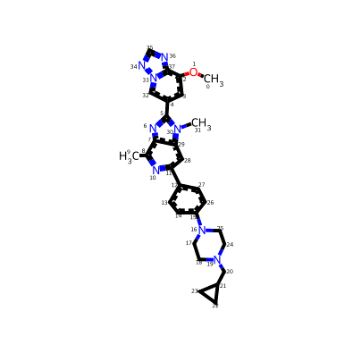 COc1cc(-c2nc3c(C)nc(-c4ccc(N5CCN(CC6CC6)CC5)cc4)cc3n2C)cn2ncnc12